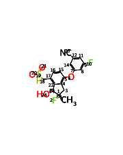 C[C@]1(F)Cc2c(Oc3cc(F)cc(C#N)c3)ccc(C[SH](=O)=O)c2[C@@H]1O